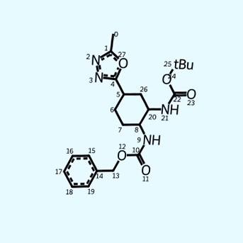 Cc1nnc(C2CCC(NC(=O)OCc3ccccc3)C(NC(=O)OC(C)(C)C)C2)o1